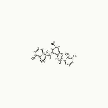 Cc1c(Cl)cccc1S(=O)(=O)Nc1ccc(C#N)cc1NS(=O)(=O)c1cccc(Cl)c1C